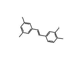 Cc1cc(C)cc(/C=C/c2ccc(C)c(I)c2)c1